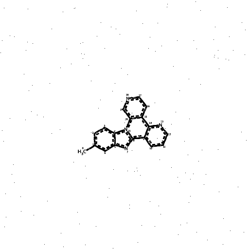 Cc1ccc2c(c1)nc1c3cccnc3c3ccncc3n21